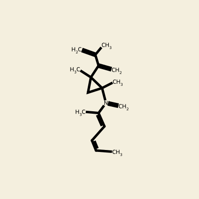 C=C(C)C(=C)C1(C)CC1(C)[N+](=C)/C(C)=C/C=C\C